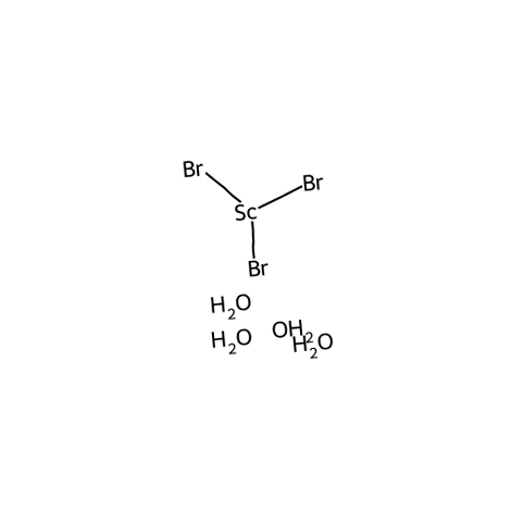 O.O.O.O.[Br][Sc]([Br])[Br]